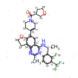 Cc1nc(N[C@H](C)c2cccc(C(F)F)c2F)c2cc(C3=CCN(C(=O)C4CCOC4)CC3)c3c(c2n1)CCO3